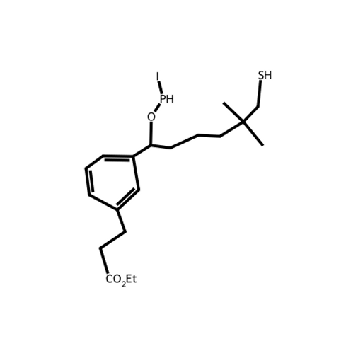 CCOC(=O)CCc1cccc(C(CCCC(C)(C)CS)OPI)c1